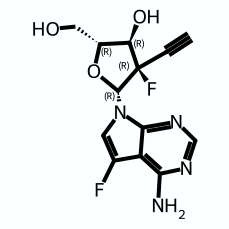 C#C[C@@]1(F)[C@H](O)[C@@H](CO)O[C@H]1n1cc(F)c2c(N)ncnc21